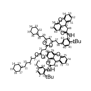 CC(C)(C)c1ccc(CC[C@H](CCCCC2CCCCC2)OC(=O)CCC(=O)O[C@@H](CCCCC2CCCCC2)CCc2ccc(C(C)(C)C)c(NC(=O)CC3c4ccccc4Oc4ccccc43)c2)cc1NC(=O)CC1c2ccccc2Oc2ccccc21